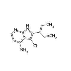 C=C/C(=C\C)c1[nH]c2nccc(N)c2c1Cl